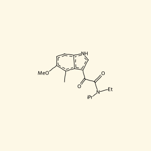 CCN(C(=O)C(=O)c1c[nH]c2ccc(OC)c(C)c12)C(C)C